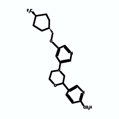 O=C(O)c1ccc(C2CN(c3cncc(OC[C@H]4CC[C@H](C(F)(F)F)CC4)c3)CCO2)cn1